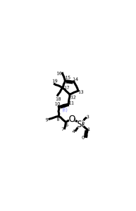 C=C[Si](C)(C)OC(C)C(C)/C=C/C1CC=C(C)C1(C)C